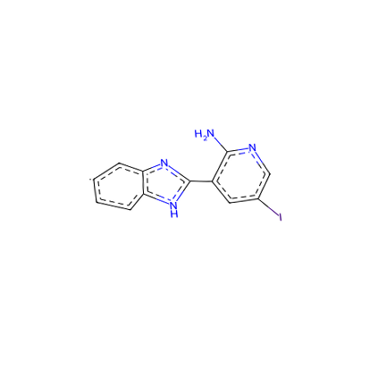 Nc1ncc(I)cc1-c1nc2c[c]ccc2[nH]1